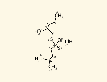 CCCC(C)CSP(O)(=S)CCC(C)C.Cl